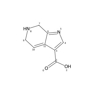 O=C(O)C1=CN=C2CNCC=C12